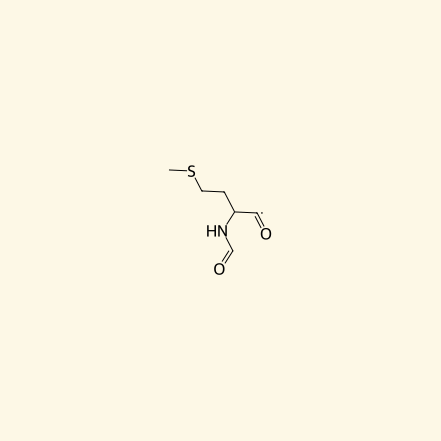 CSCCC([C]=O)NC=O